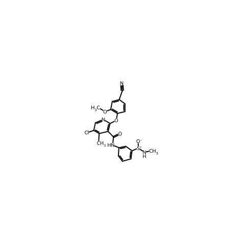 CN[S+]([O-])c1cccc(NC(=O)c2c(Oc3ccc(C#N)cc3OC)ncc(Cl)c2C)c1